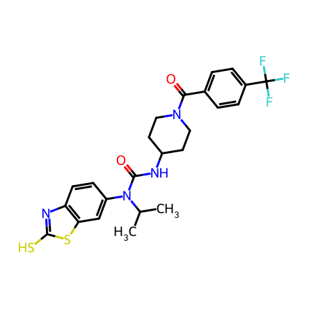 CC(C)N(C(=O)NC1CCN(C(=O)c2ccc(C(F)(F)F)cc2)CC1)c1ccc2nc(S)sc2c1